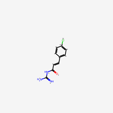 N=C(N)NC(=O)C=Cc1ccc(Cl)cc1